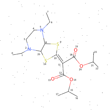 CCN1CCN(CC)C2SC(=C(C(=O)OC(C)C)C(=O)OC(C)C)SC21